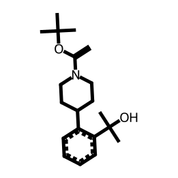 C=C(OC(C)(C)C)N1CCC(c2ccccc2C(C)(C)O)CC1